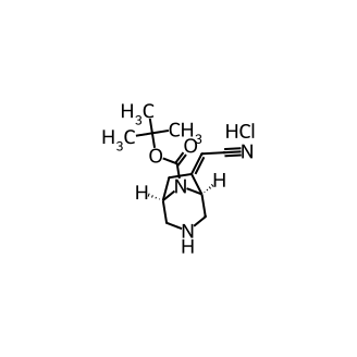 CC(C)(C)OC(=O)N1[C@H]2CNC[C@@H]1C(=CC#N)C2.Cl